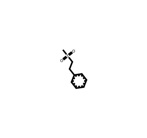 CS(=O)(=O)CCc1cc[c]cc1